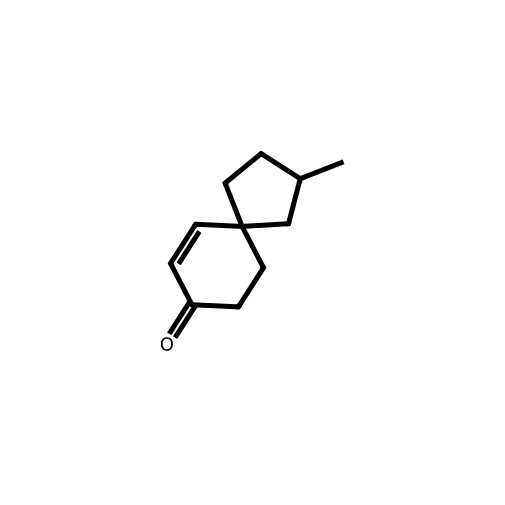 CC1CCC2(C=CC(=O)CC2)C1